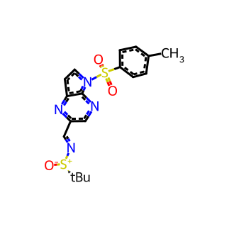 Cc1ccc(S(=O)(=O)n2ccc3nc(/C=N/[S@@+]([O-])C(C)(C)C)cnc32)cc1